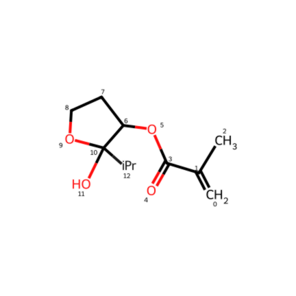 C=C(C)C(=O)OC1CCOC1(O)C(C)C